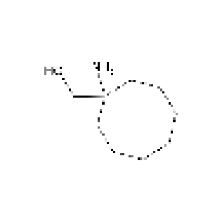 NC1(CO)CCCCCCC1